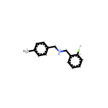 Cc1ccc(CNCc2ccccc2F)cc1